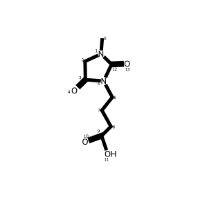 CN1CC(=O)N(CCCC(=O)O)C1=O